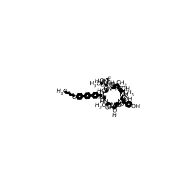 CCCCCOc1ccc(-c2ccc(-c3ccc(C(=O)N[C@H]4C[C@@H](O)[C@@H](OCC(OC(C)=O)[N+](C)(C)CF)NC(=O)[C@@H]5[C@@H](O)[C@@H](C)CN5C(=O)[C@H]([C@@H](C)O)NC(=O)[C@H]([C@H](O)[C@@H](O)c5ccc(O)cc5)NC(=O)[C@@H]5C[C@@H](O)CN5C(=O)[C@H]([C@@H](C)O)NC4=O)cc3)cc2)cc1